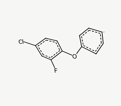 Fc1cc(Cl)ccc1Oc1cc[c]cc1